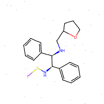 ISN[C@H](c1ccccc1)[C@H](NCC1CCCO1)c1ccccc1